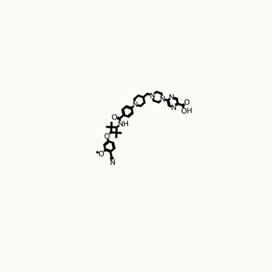 COc1cc(OC2C(C)(C)C(NC(=O)c3ccc(N4CCC(CN5CCN(c6cnc(C(=O)O)cn6)CC5)CC4)cc3)C2(C)C)ccc1C#N